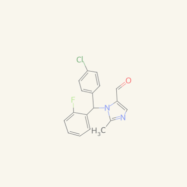 Cc1ncc(C=O)n1C(c1ccc(Cl)cc1)c1ccccc1F